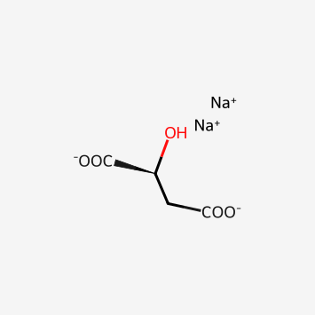 O=C([O-])C[C@H](O)C(=O)[O-].[Na+].[Na+]